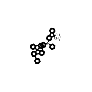 CC1(C)c2ccccc2-c2ccc(N(c3ccccc3)c3cccc(-c4cccc5c4C4(c6ccccc6-c6ccccc64)c4cccc(-c6ccccc6)c4-5)c3)cc21